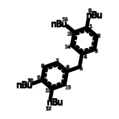 CCCCc1ccc(Cc2ccc(CCCC)c(CCCC)c2)cc1CCCC